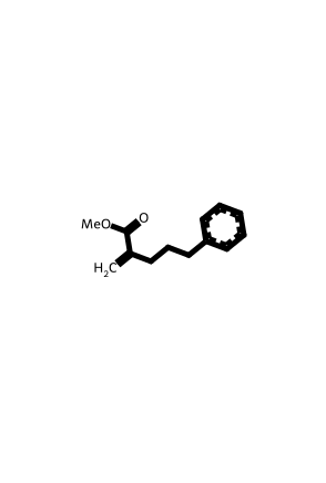 C=C(CCCc1ccccc1)C(=O)OC